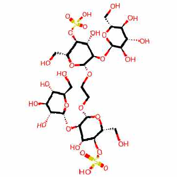 O=S(=O)(O)O[C@H]1[C@H](O)[C@@H](O[C@H]2O[C@H](CO)[C@@H](O)[C@H](O)[C@H]2O)[C@H](OCCO[C@@H]2O[C@H](CO)[C@@H](OS(=O)(=O)O)[C@H](O)[C@H]2O[C@H]2O[C@H](CO)[C@@H](O)[C@H](O)[C@H]2O)O[C@@H]1CO